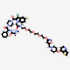 CN[C@@H](C)C(=O)NC(C(=O)N1CCN(C(=O)c2c(Cl)c3cc(F)ccc3n2CC(=O)N(C)CCOCCOCCOCCOc2cc(CN3CCC(Oc4ccnc5ccsc45)CC3)on2)CC1)C1CCCCC1